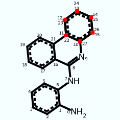 Nc1ccccc1N/C(=N/c1ccccc1)c1ccccc1-c1ccccc1